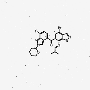 CN(C)/C=N/c1c(C(=O)c2ccc(F)c3nn(C4CCCCO4)cc23)cc(Br)c2cnsc12